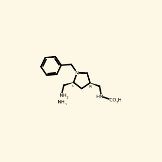 N.NC[C@@H]1C[C@H](CNC(=O)O)CN1Cc1ccccc1